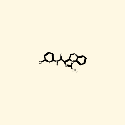 Cc1nc(C(=O)Nc2cccc(Cl)n2)c2n1-c1ccccc1SC2